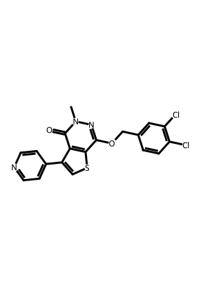 Cn1nc(OCc2ccc(Cl)c(Cl)c2)c2scc(-c3ccncc3)c2c1=O